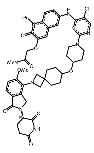 CNC(=O)COc1cc2cc(Nc3nc(N4CCC(OC5CCC6(CC5)CN(c5c(OC)ccc7c5CN([C@@H]5CCC(=O)NC5=O)C7=O)C6)CC4)ncc3Cl)ccc2n(C(C)C)c1=O